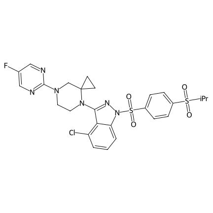 CC(C)S(=O)(=O)c1ccc(S(=O)(=O)n2nc(N3CCN(c4ncc(F)cn4)CC34CC4)c3c(Cl)cccc32)cc1